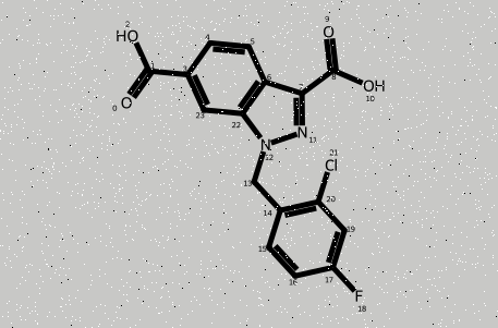 O=C(O)c1ccc2c(C(=O)O)nn(Cc3ccc(F)cc3Cl)c2c1